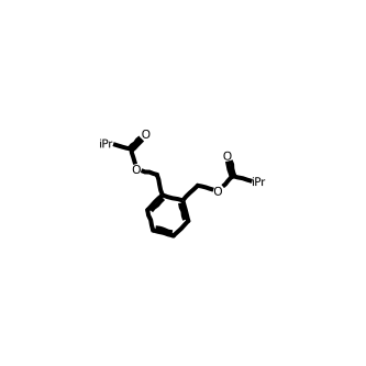 CC(C)C(=O)OCc1ccccc1COC(=O)C(C)C